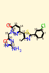 Cc1nc(-c2cccc(Cl)c2)sc1-c1ccc(=O)n(Cc2nc(N)no2)n1